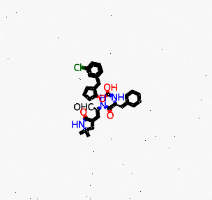 CC1(C)CC(C[C@@H](C=O)NC(=O)[C@H](CC2CCCCC2)NC(O)OC2CCCC2Cc2cccc(Cl)c2)C(=O)N1